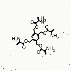 C=C(N)C(=O)OCc1cc(COC(=O)C(=C)N)c(COC(=O)C(=C)N)cc1COC(=O)C(=C)N